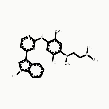 COc1cc(N(C)CCN(C)C)c(N=O)cc1Nc1nccc(-c2cn(C)c3ccccc23)n1